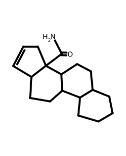 NC(=O)C12CC=CC1CCC1C3CCCCC3CCC12